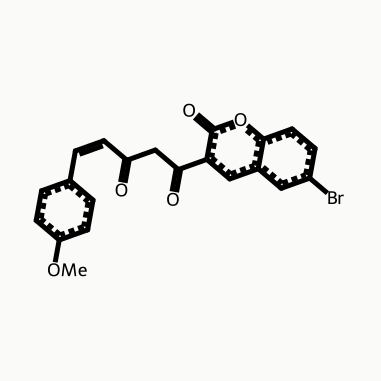 COc1ccc(/C=C\C(=O)CC(=O)c2cc3cc(Br)ccc3oc2=O)cc1